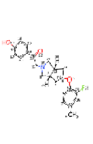 Cc1ccc(O[C@H]2C[C@@H]3CN(CC(=O)c4ccc(O)cc4)C[C@@H]3C2)c(F)c1